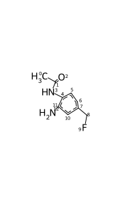 CC(=O)Nc1ccc(CF)cc1N